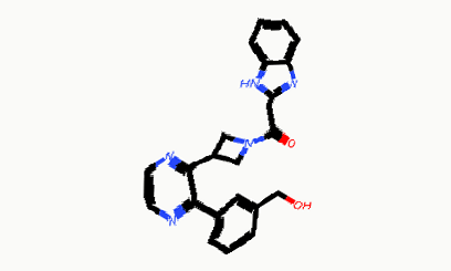 O=C(c1nc2ccccc2[nH]1)N1CC(c2nccnc2-c2cccc(CO)c2)C1